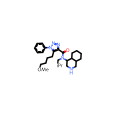 COCCCCc1c(C(=O)N(CC(C)C)C2CNCC3CCCCC32)nnn1-c1ccccc1